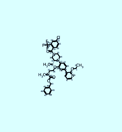 CCOc1ncccc1-c1ccc(N2CCN(C(=O)c3ccc(Cl)cc3C(F)(F)F)C[C@H]2CC)c(OCCN(C)C(=O)OCc2ccccc2)n1